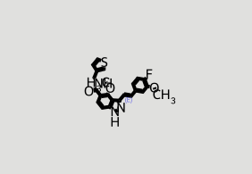 COc1cc(/C=C/c2n[nH]c3ccc(C(=O)NCc4ccsc4)c(OC)c23)ccc1F